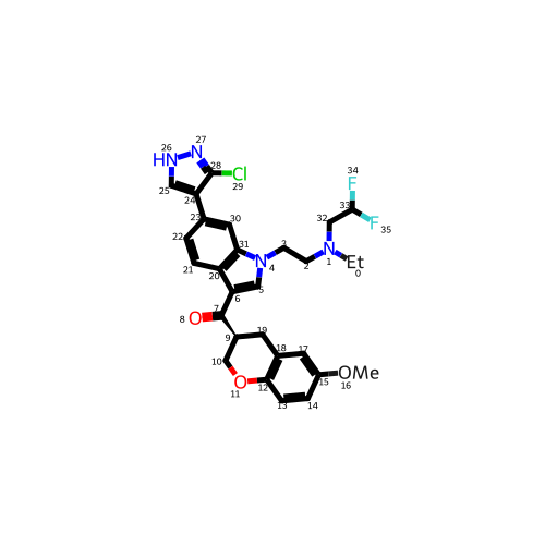 CCN(CCn1cc(C(=O)[C@@H]2COc3ccc(OC)cc3C2)c2ccc(-c3c[nH]nc3Cl)cc21)CC(F)F